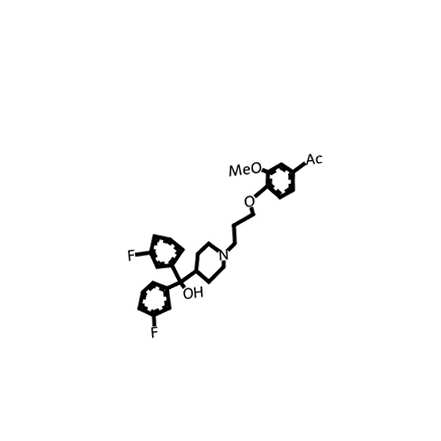 COc1cc(C(C)=O)ccc1OCCCN1CCC(C(O)(c2cccc(F)c2)c2cccc(F)c2)CC1